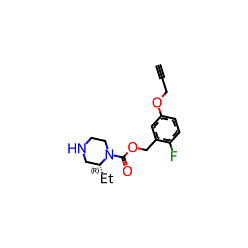 C#CCOc1ccc(F)c(COC(=O)N2CCNC[C@H]2CC)c1